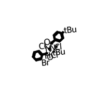 CC(C)(C)c1ccc(C(=O)[N+](Cl)(N(Cl)C(=O)c2ccccc2Br)C(C)(C)C)cc1.Cl